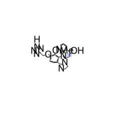 COc1c(OCc2nn[nH]n2)ccc2c1N=C(/C=C(/O)c1cccnc1)N1CCN=C21